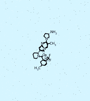 Cc1cn2nc([C@@H]3CCCCN3C(=O)C3=C(C(F)(F)P)C=CC(C)C3)cc2nc1N1CC[C@H](N)C1